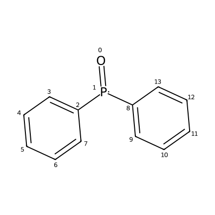 O=[P](c1ccccc1)c1ccccc1